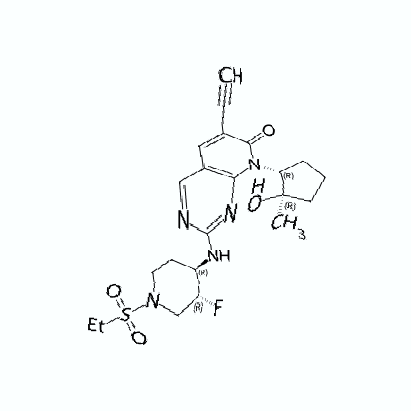 C#Cc1cc2cnc(N[C@@H]3CCN(S(=O)(=O)CC)C[C@H]3F)nc2n([C@@H]2CCC[C@@]2(C)O)c1=O